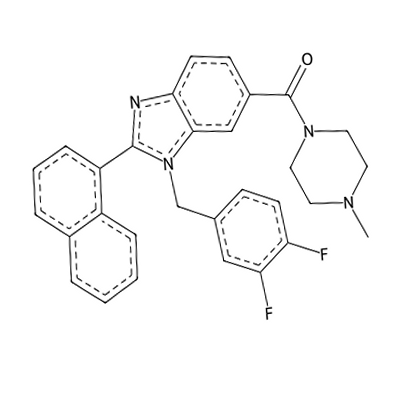 CN1CCN(C(=O)c2ccc3nc(-c4cccc5ccccc45)n(Cc4ccc(F)c(F)c4)c3c2)CC1